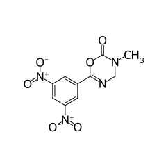 CN1CN=C(c2cc([N+](=O)[O-])cc([N+](=O)[O-])c2)OC1=O